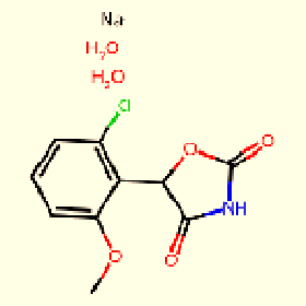 COc1cccc(Cl)c1C1OC(=O)NC1=O.O.O.[Na]